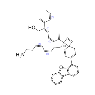 C=C(/C=C\C)/C(=C/C=C\C(=C)[C@@]1(CC/C=C\C=C/CCN)C=CC12C=CC(c1cccc3c1oc1ccccc13)=CC2)CO